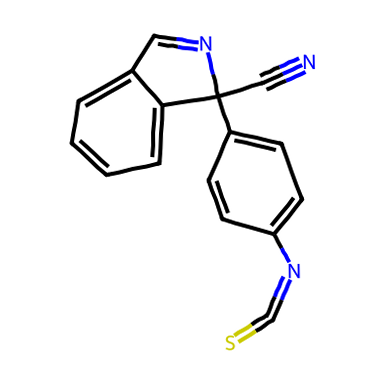 N#CC1(c2ccc(N=C=S)cc2)N=Cc2ccccc21